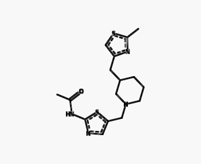 CC(=O)Nc1ncc(CN2CCCC(Cc3csc(C)n3)C2)s1